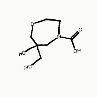 O=C(O)N1CCOCC(O)(CO)C1